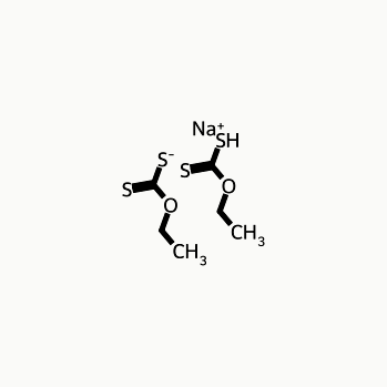 CCOC(=S)S.CCOC(=S)[S-].[Na+]